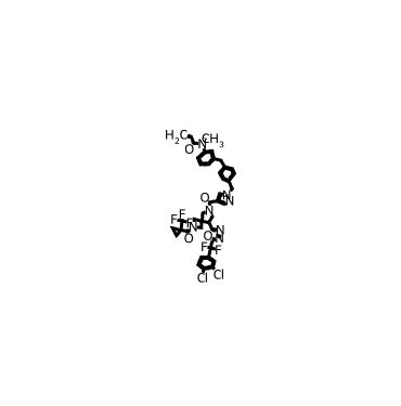 C=CC(=O)N(C)c1cccc(Cc2ccc(Cn3cc(C(=O)N4CC(c5nnc(C(F)(F)c6ccc(Cl)c(Cl)c6)o5)C5(C4)CN(C(=O)C4(C(F)(F)F)CC4)C5)cn3)cc2)c1